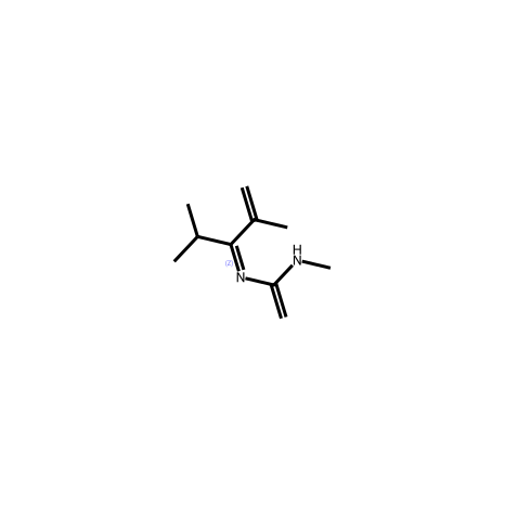 C=C(/N=C(\C(=C)C)C(C)C)NC